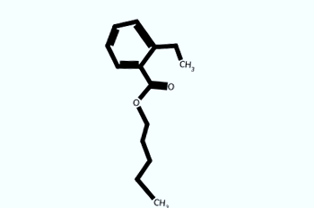 CCCCCOC(=O)c1ccccc1CC